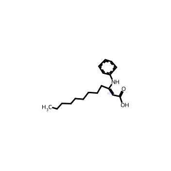 CCCCCCCCC/C(=C/C(=O)O)Nc1ccccc1